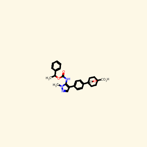 CC(OC(=O)Nc1c(-c2ccc(C34CCC(C(=O)O)(CC3)OC4)cc2)cnn1C)c1ccccc1